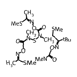 CNC(=O)ON=C(CSC)C(C)(C)C.CS/C(C)=N\OC(=O)N(C)SN(C)C(=O)O/N=C(/C)SC